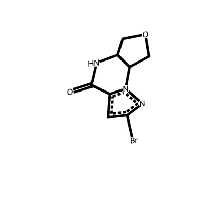 O=C1NC2COCC2n2nc(Br)cc21